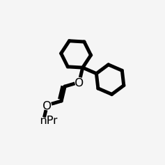 CCCOC=COC1(C2CCCCC2)CCCCC1